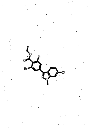 CCOC(=O)c1c(Br)cc(-c2nn(C)c3cc(Cl)ccc23)cc1Br